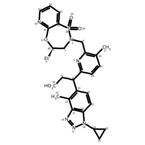 CC[C@@H]1CN(Cc2nc(C(CC(=O)O)c3ccc4c(nnn4C4CC4)c3C)ccc2C)S(=O)(=O)c2cccnc2O1